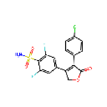 NS(=O)(=O)c1c(F)cc(C2=C(c3ccc(Cl)cc3)C(=O)OC2)cc1F